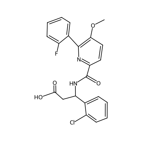 COc1ccc(C(=O)NC(CC(=O)O)c2ccccc2Cl)nc1-c1ccccc1F